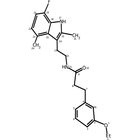 CCOc1cccc(CCC(=O)NCCc2c(C)[nH]c3c(F)ccc(C)c23)c1